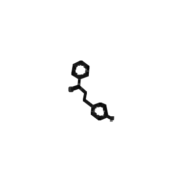 O=C(CCc1ccc(F)cc1)c1ccccc1